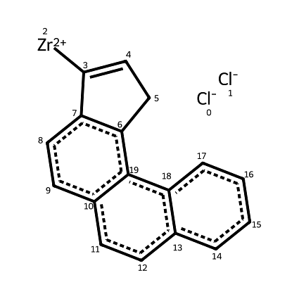 [Cl-].[Cl-].[Zr+2][C]1=CCc2c1ccc1ccc3ccccc3c21